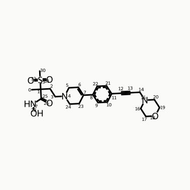 CC(CCN1CC=C(c2ccc(C#CCN3CCOCC3)cc2)CC1)(C(=O)NO)S(C)(=O)=O